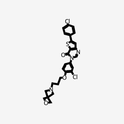 O=c1c2sc(-c3ccc(Cl)cc3)cc2ncn1-c1ccc(OCCCN2CC3(COC3)C2)c(Cl)c1